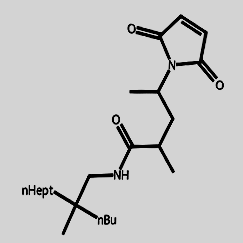 CCCCCCCC(C)(CCCC)CNC(=O)C(C)CC(C)N1C(=O)C=CC1=O